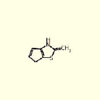 C=C1NC2=C(CC=C2)S1